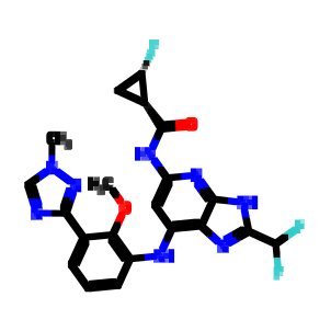 COc1c(Nc2cc(NC(=O)[C@H]3C[C@@H]3F)nc3[nH]c(C(F)F)nc23)cccc1-c1ncn(C)n1